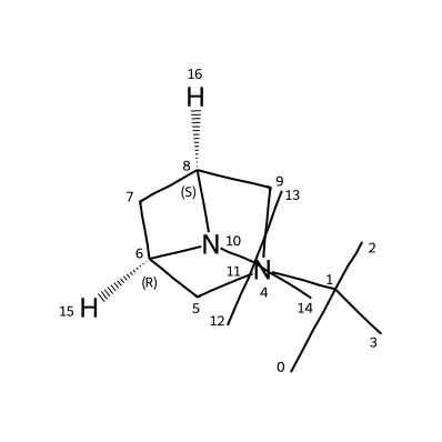 CC(C)(C)N1C[C@H]2C[C@@H](C1)N2C(C)(C)C